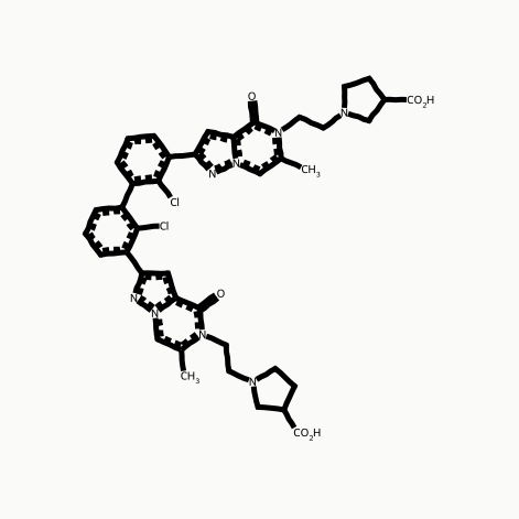 Cc1cn2nc(-c3cccc(-c4cccc(-c5cc6c(=O)n(CCN7CCC(C(=O)O)C7)c(C)cn6n5)c4Cl)c3Cl)cc2c(=O)n1CCN1CCC(C(=O)O)C1